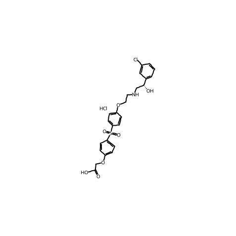 Cl.O=C(O)COc1ccc(S(=O)(=O)c2ccc(OCCNC[C@@H](O)c3cccc(Cl)c3)cc2)cc1